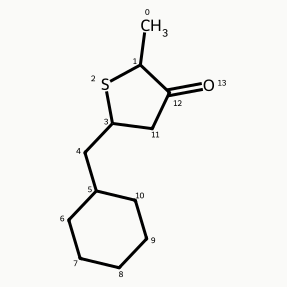 CC1SC(CC2CCCCC2)CC1=O